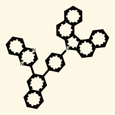 c1ccc2cc(-c3cnc4ccccc4n3)c(-c3ccc(-n4c5ccc6ccccc6c5c5c6ccccc6ccc54)cc3)cc2c1